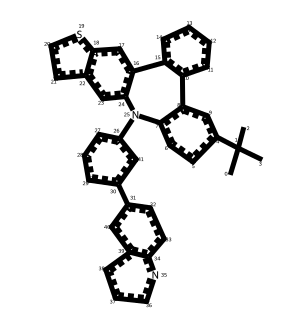 CC(C)(C)c1ccc2c(c1)-c1ccccc1-c1cc3sccc3cc1N2c1cccc(-c2ccc3ncccc3c2)c1